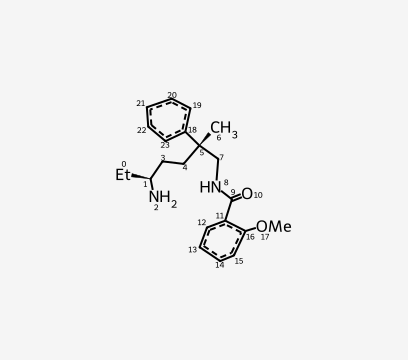 CC[C@H](N)CC[C@@](C)(CNC(=O)c1ccccc1OC)c1ccccc1